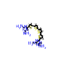 Nc1nc(N)nc(-c2ccc(-c3ccc(-c4ccc(-c5ccc(-c6nc(N)nc(N)n6)s5)s4)s3)s2)n1